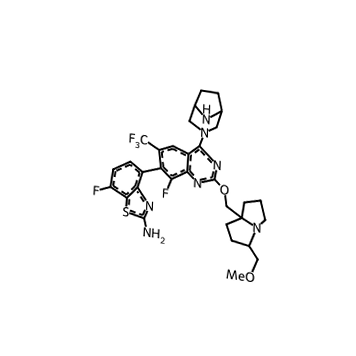 COCC1CCC2(COc3nc(N4CC5CCC(C4)N5)c4cc(C(F)(F)F)c(-c5ccc(F)c6sc(N)nc56)c(F)c4n3)CCCN12